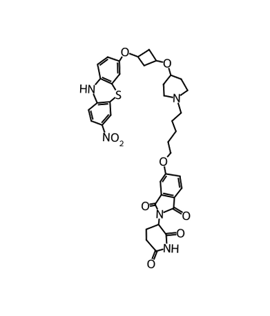 O=C1CCC(N2C(=O)c3ccc(OCCCCCN4CCC(OC5CC(Oc6ccc7c(c6)Sc6cc([N+](=O)[O-])ccc6N7)C5)CC4)cc3C2=O)C(=O)N1